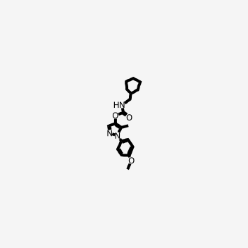 COc1ccc(-n2ncc(OC(=O)NCC3CCCCC3)c2C)cc1